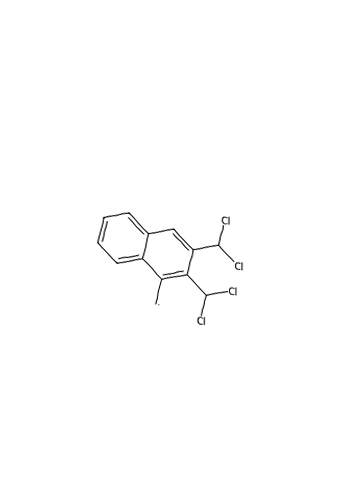 [CH2]c1c(C(Cl)Cl)c(C(Cl)Cl)cc2ccccc12